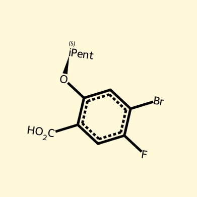 CCC[C@H](C)Oc1cc(Br)c(F)cc1C(=O)O